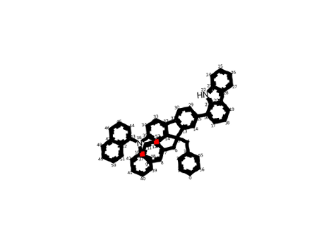 c1ccc(CC2(Cc3ccccc3)c3cc(-c4cccc5c4[nH]c4ccccc45)ccc3-c3ccc(N(c4ccccc4)c4cccc5ccccc45)cc32)cc1